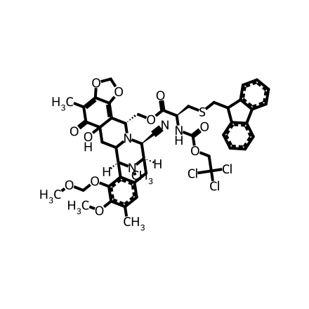 COCOc1c(OC)c(C)cc2c1[C@H]1C3CC4(O)C(=O)C(C)=C5OCOC5=C4[C@H](COC(=O)[C@@H](CSCC4c5ccccc5-c5ccccc54)NC(=O)OCC(Cl)(Cl)Cl)N3[C@@H](C#N)[C@@H](C2)N1C